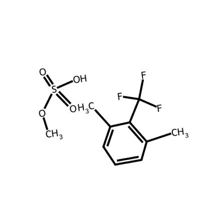 COS(=O)(=O)O.Cc1cccc(C)c1C(F)(F)F